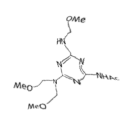 COCNc1nc(NC(C)=O)nc(N(COC)COC)n1